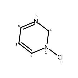 ClN1C=CC=NC1